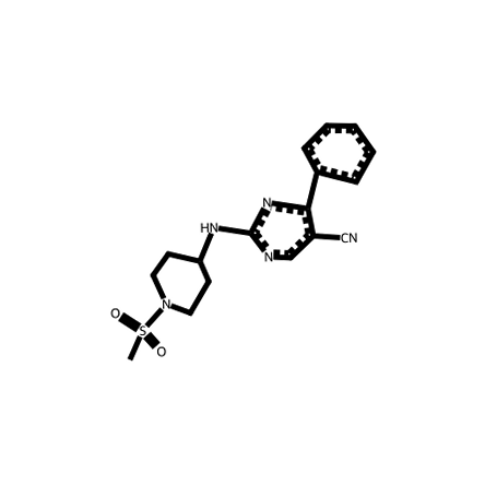 CS(=O)(=O)N1CCC(Nc2ncc(C#N)c(-c3ccccc3)n2)CC1